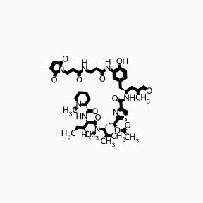 CC[C@H](C)[C@H](NC(=O)[C@H]1CCCCN1C)C(=O)N(C)[C@H](C[C@@H](OC(C)=O)c1nc(C(=O)N[C@@H](Cc2ccc(O)c(NC(=O)CCNC(=O)CCN3C(=O)C=CC3=O)c2)CC(C)C=O)cs1)C(C)C